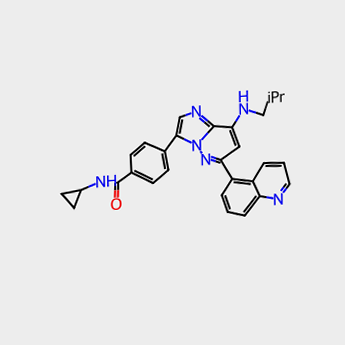 CC(C)CNc1cc(-c2cccc3ncccc23)nn2c(-c3ccc(C(=O)NC4CC4)cc3)cnc12